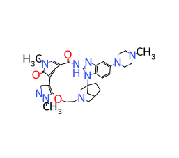 CN1CCN(c2ccc3c(c2)nc2n3C34CCC(CN(CCOc5c(cnn5C)-c5cc(cn(C)c5=O)C(=O)N2)C3)C4)CC1